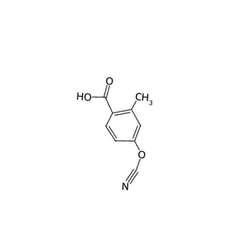 Cc1cc(OC#N)ccc1C(=O)O